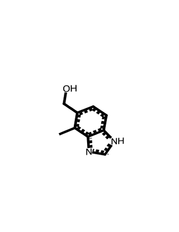 Cc1c(CO)ccc2[nH][c]nc12